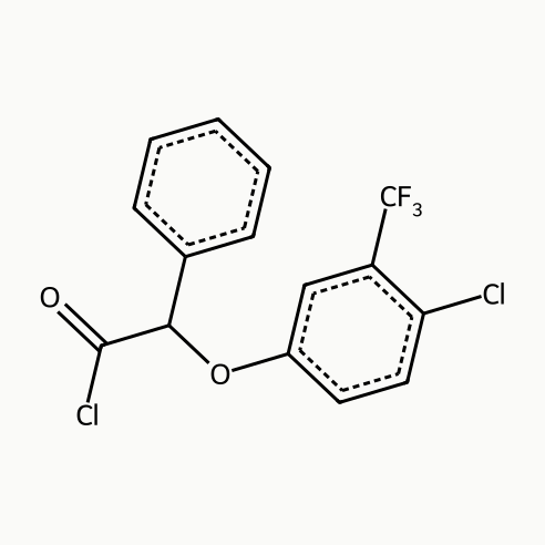 O=C(Cl)C(Oc1ccc(Cl)c(C(F)(F)F)c1)c1ccccc1